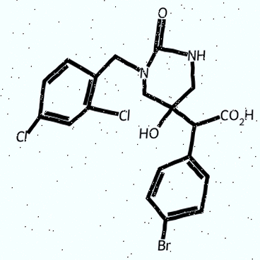 O=C(O)C(c1ccc(Br)cc1)C1(O)CNC(=O)N(Cc2ccc(Cl)cc2Cl)C1